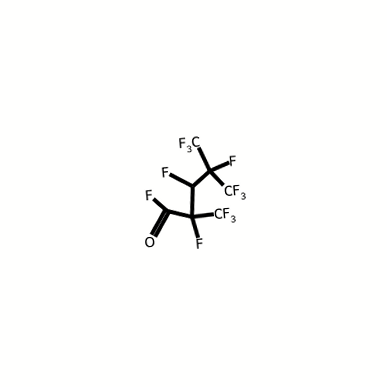 O=C(F)C(F)(C(F)C(F)(C(F)(F)F)C(F)(F)F)C(F)(F)F